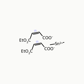 CCOC(=O)/C=C\C(=O)[O-].CCOC(=O)/C=C\C(=O)[O-].[CH3][Sn+2][CH3]